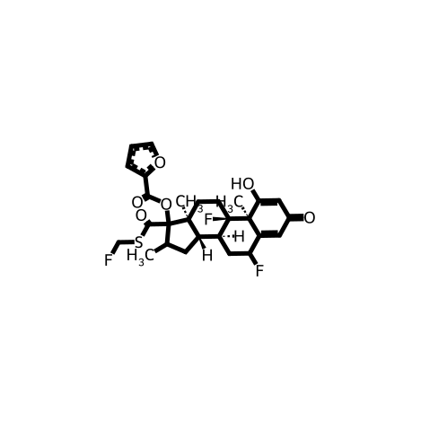 CC1C[C@H]2[C@@H]3CC(F)C4=CC(=O)C=C(O)[C@]4(C)[C@@]3(F)CC[C@]2(C)C1(OC(=O)c1ccco1)C(=O)SCF